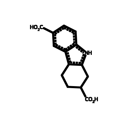 O=C(O)c1ccc2[nH]c3c(c2c1)CCC(C(=O)O)C3